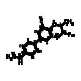 CC(Oc1ncc(-c2cnc(NN)cn2)cc1F)C(F)F